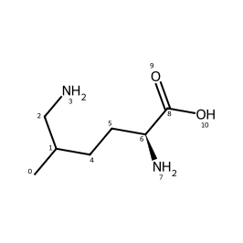 CC(CN)CC[C@H](N)C(=O)O